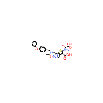 CC(=O)N(Cc1ccc(Oc2ccccc2)cc1)C[C@@H]1NCCc2c1sc(NC(=O)C(=O)O)c2C(=O)O